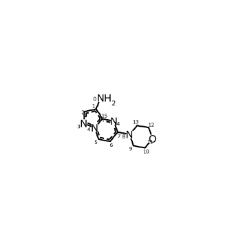 Nc1cnn2ccc(N3CCOCC3)nc12